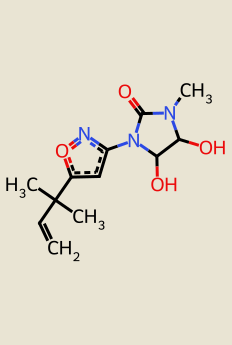 C=CC(C)(C)c1cc(N2C(=O)N(C)C(O)C2O)no1